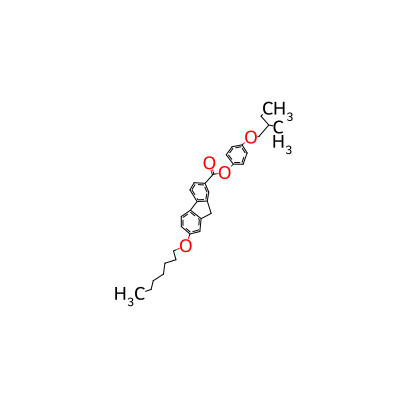 CCCCCCCOc1ccc2c(c1)Cc1cc(C(=O)Oc3ccc(OCC(C)CC)cc3)ccc1-2